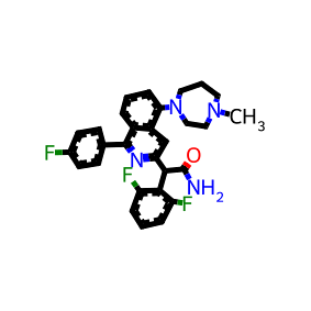 CN1CCCN(c2cccc3c(-c4ccc(F)cc4)nc(C(C(N)=O)c4c(F)cccc4F)cc23)CC1